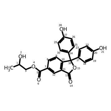 CC(O)COC(=O)c1ccc2c(c1)C(=O)OC2(c1ccc(O)cc1)c1ccc(O)cc1